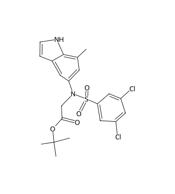 Cc1cc(N(CC(=O)OC(C)(C)C)S(=O)(=O)c2cc(Cl)cc(Cl)c2)cc2cc[nH]c12